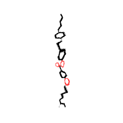 C/C=C/CC[C@H]1CC[C@H](CCc2ccc(OC(=O)c3ccc(OCCCCC[C@@H](C)CC)cc3)cc2)CC1